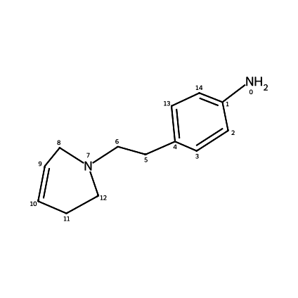 Nc1ccc(CCN2CC=CCC2)cc1